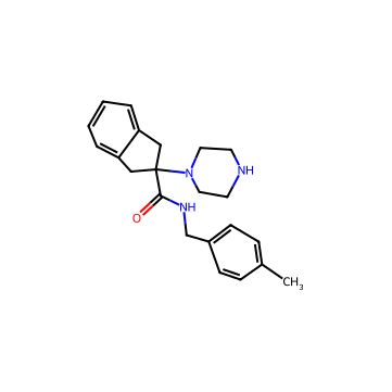 Cc1ccc(CNC(=O)C2(N3CCNCC3)Cc3ccccc3C2)cc1